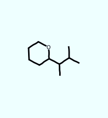 CC(C)C(C)C1CCCCO1